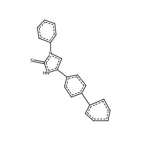 S=c1[nH]c(-c2ccc(-c3ccccc3)cc2)cn1-c1ccccc1